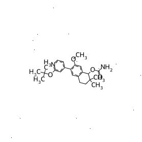 COc1cc2c(cc1-c1ccnc(OC(C)(C)C)c1)CCC(C)(C)C2OC(N)=O